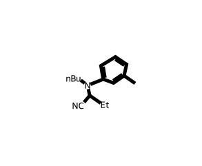 CCCCN(c1cccc(C)c1)C(C#N)CC